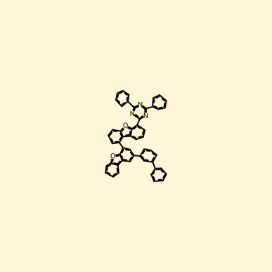 c1ccc(-c2cccc(-c3cc(-c4cccc5oc6c(-c7nc(-c8ccccc8)nc(-c8ccccc8)n7)cccc6c45)c4oc5ccccc5c4c3)c2)cc1